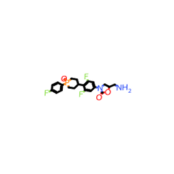 NCC1CN(c2cc(F)c(C3CCP(=O)(c4ccc(F)cc4)CC3)c(F)c2)C(=O)O1